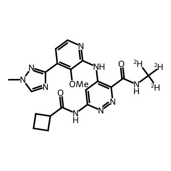 [2H]C([2H])([2H])NC(=O)c1nnc(NC(=O)C2CCC2)cc1Nc1nccc(-c2ncn(C)n2)c1OC